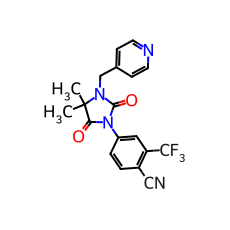 CC1(C)C(=O)N(c2ccc(C#N)c(C(F)(F)F)c2)C(=O)N1Cc1ccncc1